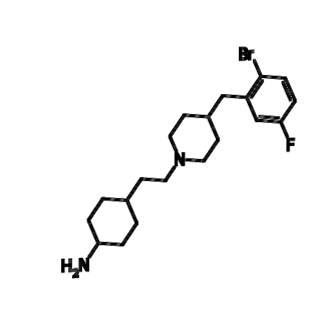 NC1CCC(CCN2CCC(Cc3cc(F)ccc3Br)CC2)CC1